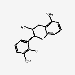 Oc1cccc(C2Oc3cccc(O)c3CC2O)c1Cl